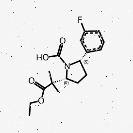 CCOC(=O)C(C)(C)[C@H]1CC[C@@H](c2cccc(F)c2)N1C(=O)O